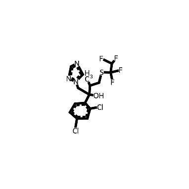 CC(CSC(F)(F)C(F)F)C(O)(Cn1cncn1)c1ccc(Cl)cc1Cl